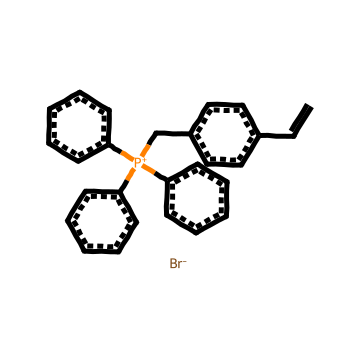 C=Cc1ccc(C[P+](c2ccccc2)(c2ccccc2)c2ccccc2)cc1.[Br-]